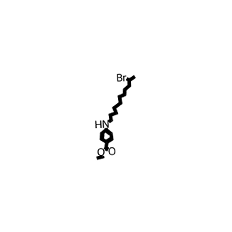 CCOC(=O)c1ccc(NCCCCCCCCCC(C)Br)cc1